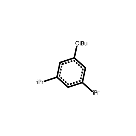 C[C](C)c1cc(OCC(C)C)cc(C(C)C)c1